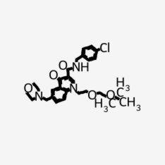 CC(C)(C)OCCOCCn1cc(C(=O)NCc2ccc(Cl)cc2)c(=O)c2cc(CN3CCOCC3)ccc21